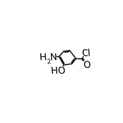 Nc1ccc(C(=O)Cl)cc1O